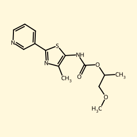 COCC(C)OC(=O)Nc1sc(-c2cccnc2)nc1C